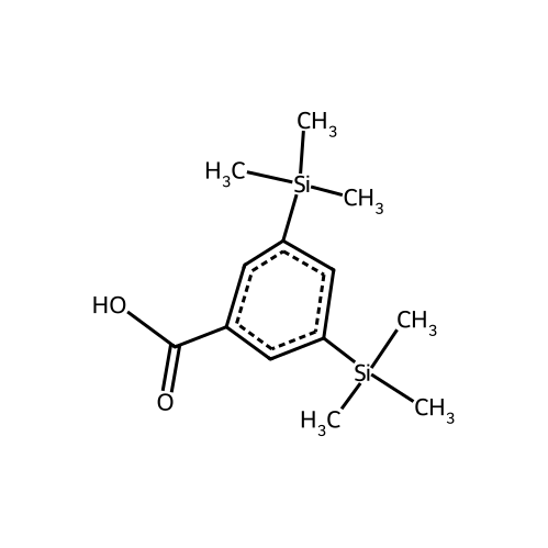 C[Si](C)(C)c1cc(C(=O)O)cc([Si](C)(C)C)c1